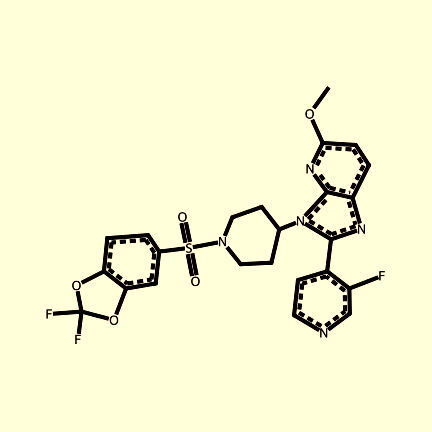 COc1ccc2nc(-c3ccncc3F)n(C3CCN(S(=O)(=O)c4ccc5c(c4)OC(F)(F)O5)CC3)c2n1